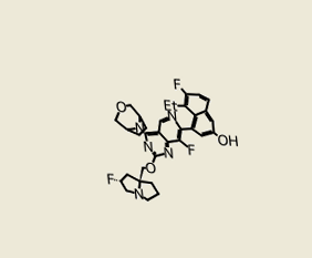 CCc1c(F)ccc2cc(O)cc(-c3ncc4c(N5C6CCC5COC6)nc(OC[C@@]56CCCN5C[C@H](F)C6)nc4c3F)c12